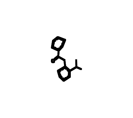 CC(C)c1ccccc1CC(=O)c1ccccc1